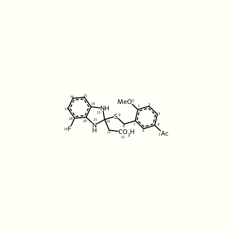 COc1ccc(C(C)=O)cc1CSC1(CC(=O)O)Nc2cccc(F)c2N1